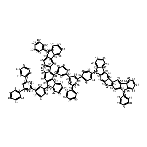 c1ccc(-c2cc(-c3ccccc3)nc(-c3cccc(-n4c5ccccc5c5c(-c6cccc(-c7cc(-c8ccc(-n9c%10ccccc%10c%10cc%11c(cc%109)sc9cc%10c(cc9%11)c9ccccc9n%10-c9ccccc9)cc8)nc(-c8ccccc8)n7)c6)c6c(cc54)sc4cc5c(cc46)c4ccccc4n5-c4ccccc4)c3)n2)cc1